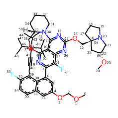 COCOc1cc(-c2nc3c4c(nc(OC[C@@]56CCCN5C[C@H](OC)C6)nc4c2F)N2CCCC[C@H]2CO3)c2c(C#C[Si](C(C)C)(C(C)C)C(C)C)c(F)ccc2c1